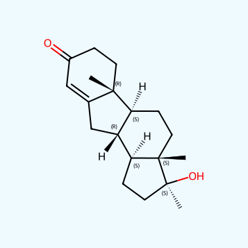 C[C@]12CCC(=O)C=C1C[C@@H]1[C@@H]2CC[C@@]2(C)[C@H]1CC[C@]2(C)O